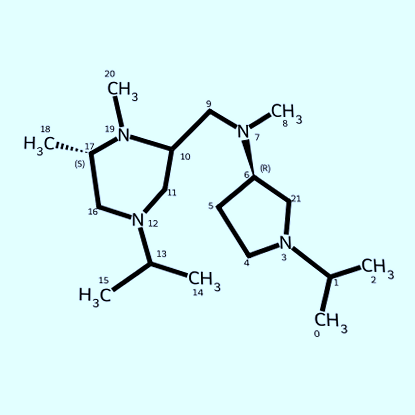 CC(C)N1CC[C@@H](N(C)CC2CN(C(C)C)C[C@H](C)N2C)C1